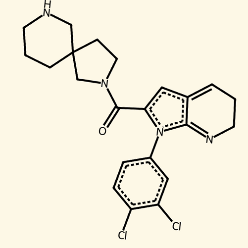 O=C(c1cc2c(n1-c1ccc(Cl)c(Cl)c1)=NCCC=2)N1CCC2(CCCNC2)C1